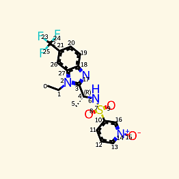 CCn1c([C@@H](C)NS(=O)(=O)c2ccc[n+]([O-])c2)nc2ccc(C(F)(F)F)cc21